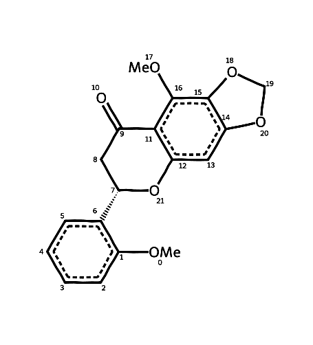 COc1ccccc1[C@@H]1CC(=O)c2c(cc3c(c2OC)OCO3)O1